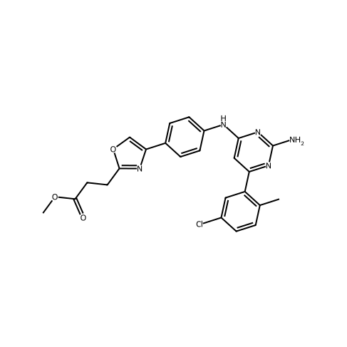 COC(=O)CCc1nc(-c2ccc(Nc3cc(-c4cc(Cl)ccc4C)nc(N)n3)cc2)co1